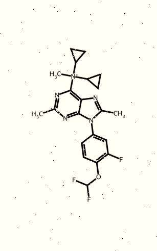 Cc1nc([N+](C)(C2CC2)C2CC2)c2nc(C)n(-c3ccc(OC(F)F)c(F)c3)c2n1